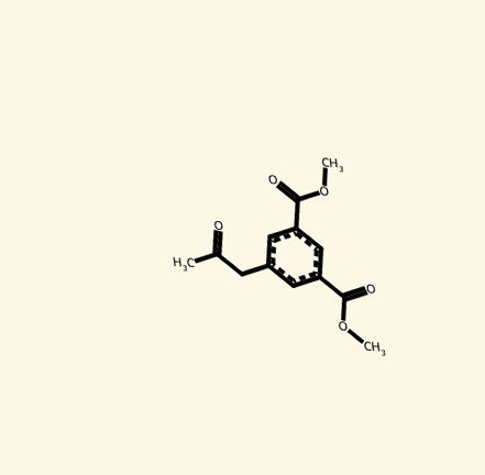 COC(=O)c1cc(CC(C)=O)cc(C(=O)OC)c1